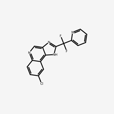 FC(F)(c1ccccn1)c1nc2cnc3ccc(Cl)cc3c2[nH]1